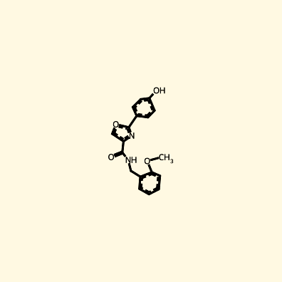 COc1ccccc1CNC(=O)c1coc(-c2ccc(O)cc2)n1